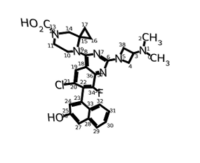 CN(C)C1CN(c2nc(N3CCN(C(=O)O)CC34CC4)c3cc(Cl)c(-c4cc(O)cc5ccccc45)c(F)c3n2)C1